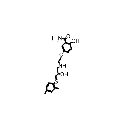 Cc1ccc(SCC(O)CNCCOc2ccc(O)c(C(N)=O)c2)c(C)c1